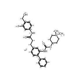 C[N+]1(C)CCC(OC(=O)Nc2cc(CCC(=O)Nc3ccc(CO)c(F)c3)ccc2-c2ccccc2)CC1.[I-]